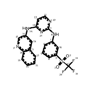 O=S(=O)(c1cccc(Nc2nccc(Nc3cnc4ccccc4c3)n2)c1)C(F)(F)F